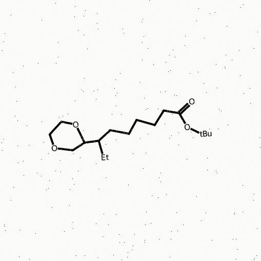 CCC(CCCCCC(=O)OC(C)(C)C)C1COCCO1